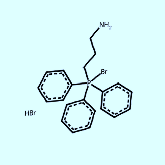 Br.NCCCP(Br)(c1ccccc1)(c1ccccc1)c1ccccc1